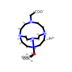 O=C([O-])CN1CCN2CCN(CC(=O)[O-])CCN(CC1)CCN(CC(=O)[O-])CC2.[In+3]